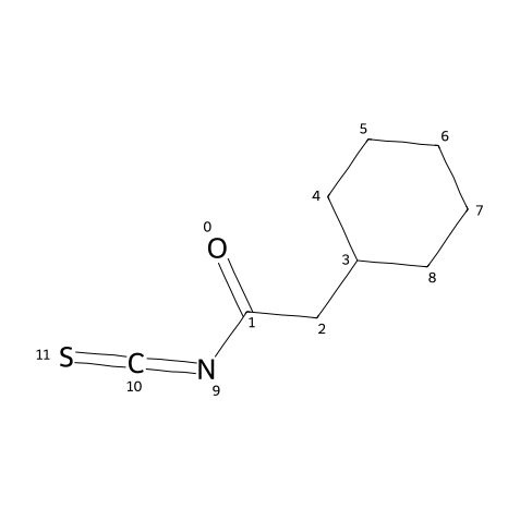 O=C(CC1CCCCC1)N=C=S